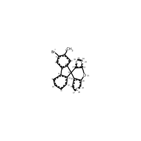 Cc1cc2c(cc1Br)-c1ccccc1C21c2ccccc2Oc2ccccc21